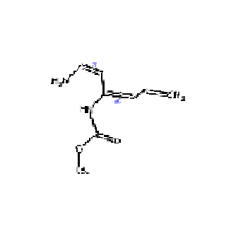 C=C/C=C(\C=C/N)NC(=O)OC(C)(C)C